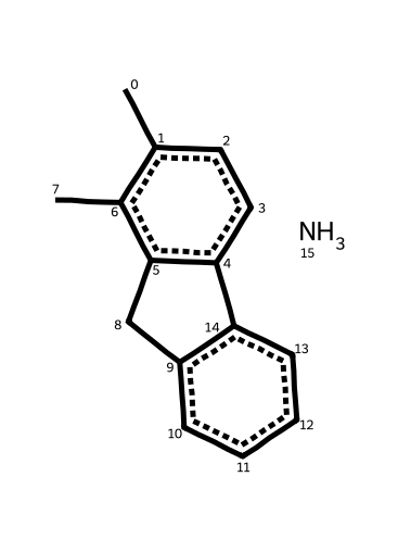 Cc1ccc2c(c1C)Cc1ccccc1-2.N